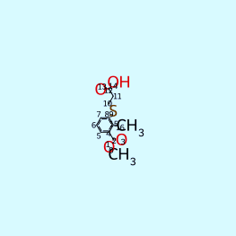 COC(=O)c1cccc(SCCC(=O)O)c1C